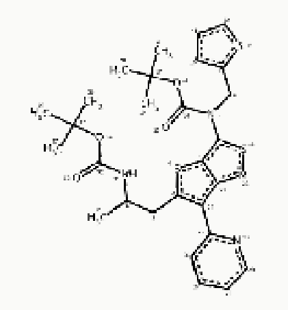 CC(Cc1sc2c(N(Cc3cccs3)C(=O)OC(C)(C)C)snc2c1-c1ccccn1)NC(=O)OC(C)(C)C